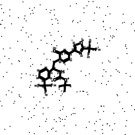 CC(C)(C)OC(=O)NC(Cn1ccc(-c2noc(C(F)(F)F)n2)cc1=O)c1cccc(C(F)(F)F)c1